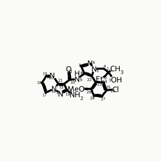 CCC(C)(O)Cn1ncc(NC(=O)c2c(N)nn3cccnc23)c1-c1cc(Cl)ccc1OC